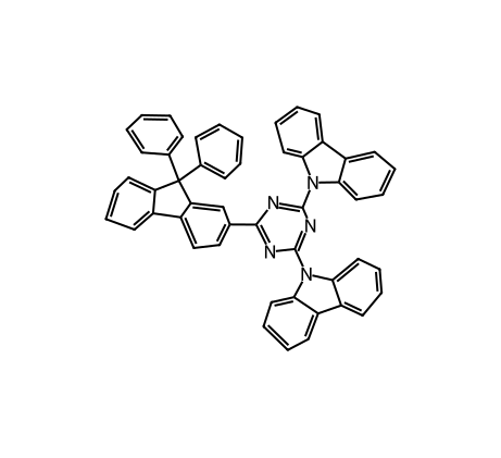 c1ccc(C2(c3ccccc3)c3ccccc3-c3ccc(-c4nc(-n5c6ccccc6c6ccccc65)nc(-n5c6ccccc6c6ccccc65)n4)cc32)cc1